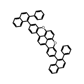 c1ccc(-c2ccc3ccccc3c2-c2ccc3c(c2)Oc2ccc4c5c(ccc-3c25)-c2ccc(-c3c(-c5ccccc5)ccc5ccccc35)cc2O4)cc1